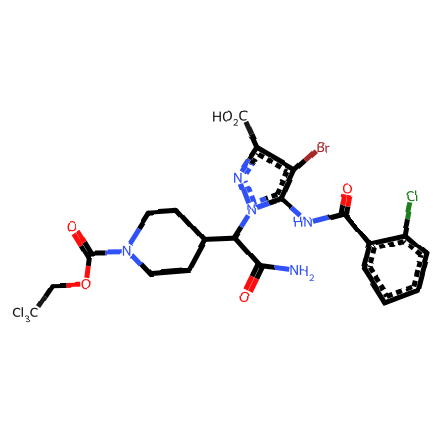 NC(=O)C(C1CCN(C(=O)OCC(Cl)(Cl)Cl)CC1)n1nc(C(=O)O)c(Br)c1NC(=O)c1ccccc1Cl